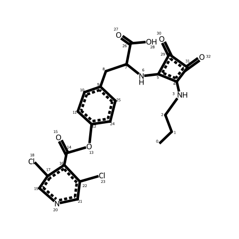 CCCNc1c(NC(Cc2ccc(OC(=O)c3c(Cl)cncc3Cl)cc2)C(=O)O)c(=O)c1=O